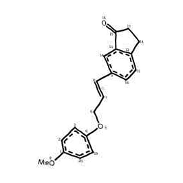 COc1ccc(OC/C=C/c2ccc3c(c2)C(=O)CC3)cc1